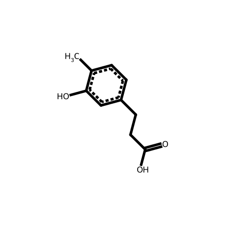 Cc1ccc(CCC(=O)O)cc1O